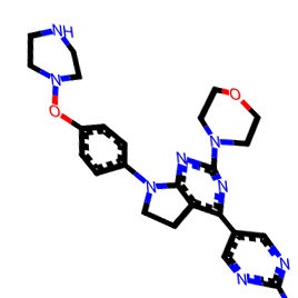 Nc1ncc(-c2nc(N3CCOCC3)nc3c2CCN3c2ccc(ON3CCNCC3)cc2)cn1